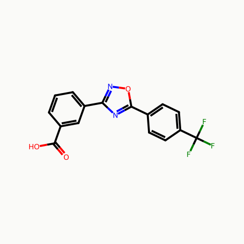 O=C(O)c1cccc(-c2noc(-c3ccc(C(F)(F)F)cc3)n2)c1